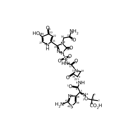 CC(C)(ON=C(C(=O)N[C@H]1CN(C(=O)NS(=O)(=O)n2nc(-c3cc(=O)c(O)c[nH]3)n(CC(N)=O)c2=O)C1=O)c1csc(N)n1)C(=O)O